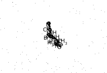 Cn1cnc([N+](=O)[O-])c1C[N+](C)(C)C/C=C/C(=O)Nc1cc2c(Nc3ccc(OCc4ccccn4)c(Cl)c3)ncnc2cn1.[Br-]